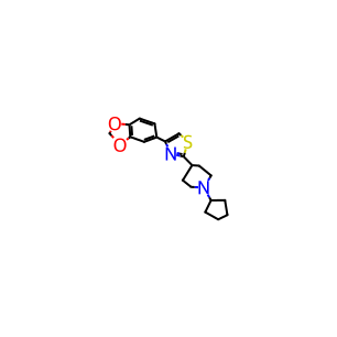 c1cc2c(cc1-c1csc(C3CCN(C4CCCC4)CC3)n1)OCO2